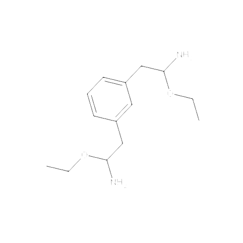 CCOC(N)Cc1cccc(CC(N)OCC)c1